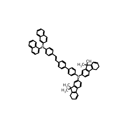 CC1(C)C2=C(CCC=C2)c2ccc(N(c3ccc(-c4ccc(/C=C/c5ccc(N(c6ccc7ccccc7c6)c6cccc7ccccc67)cc5)cc4)cc3)c3ccc4c(c3)C(C)(C)C3=C4C=CCC3)cc21